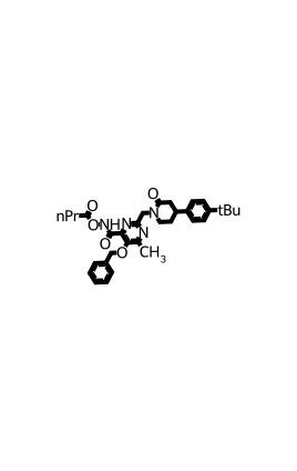 CCCC(=O)ONC(=O)c1nc(CN2CCC(c3ccc(C(C)(C)C)cc3)CC2=O)nc(C)c1OCc1ccccc1